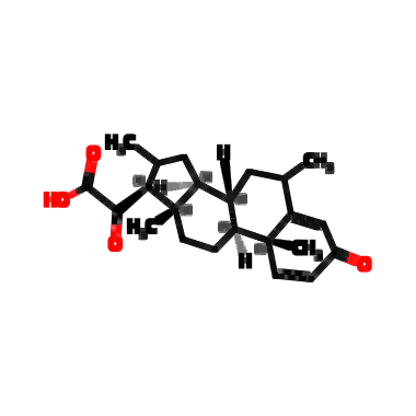 CC1C[C@H]2[C@@H]3CC(C)[C@H](C(=O)C(=O)O)[C@@]3(C)CC[C@@H]2[C@@]2(C)C=CC(=O)C=C12